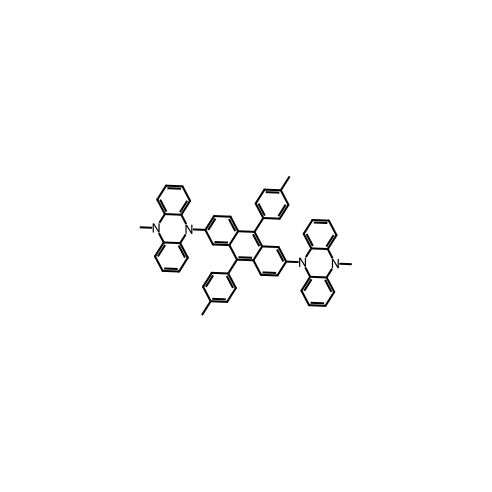 Cc1ccc(-c2c3ccc(N4c5ccccc5N(C)c5ccccc54)cc3c(-c3ccc(C)cc3)c3ccc(N4c5ccccc5N(C)c5ccccc54)cc23)cc1